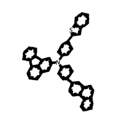 c1ccc2c(c1)-c1cccc3cc(N(c4ccc(-c5ccc6c(ccc7ccccc76)c5)cc4)c4ccc(-c5cc6ccccc6s5)cc4)cc-2c13